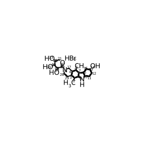 Br.Cc1c2c(c(C)c3c1[nH]c1ccc(O)cc13)CN([C@@H]1OC[C@@H](O)[C@@H](O)[C@@H]1O)C=C2